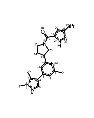 Cc1cc(-c2cnn(C)c2C)cc(C2CCN(C(=O)c3cc(C(C)C)n[nH]3)C2)n1